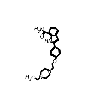 CCN1CCN(CCOc2ccc(-c3cc4cccc(C(N)=O)c4[nH]3)cc2)CC1